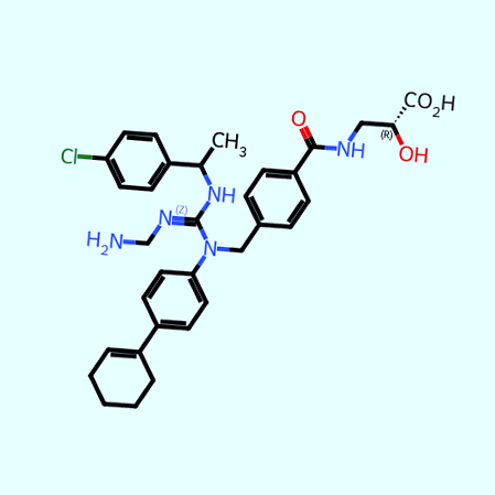 CC(N/C(=N/CN)N(Cc1ccc(C(=O)NC[C@@H](O)C(=O)O)cc1)c1ccc(C2=CCCCC2)cc1)c1ccc(Cl)cc1